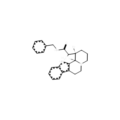 CC[C@@]1(C(C)C(=O)NCc2ccccc2)CCCN2CCc3c([nH]c4ccccc34)[C@@H]21